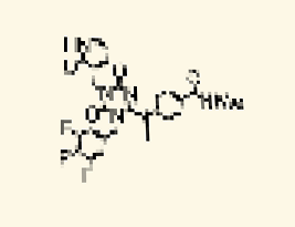 CNC(=O)c1ccc(Nc2nc(=O)n(Cc3ccc[nH]c3=O)c(=O)n2Cc2cc(F)c(F)c(F)c2)cc1